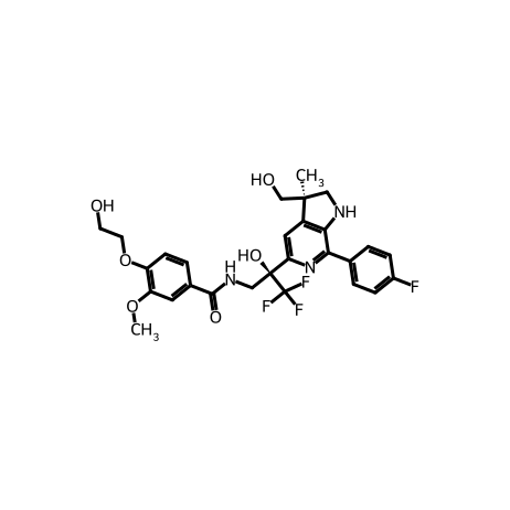 COc1cc(C(=O)NC[C@](O)(c2cc3c(c(-c4ccc(F)cc4)n2)NC[C@]3(C)CO)C(F)(F)F)ccc1OCCO